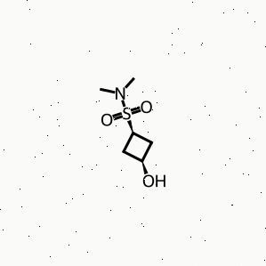 CN(C)S(=O)(=O)[C@H]1C[C@@H](O)C1